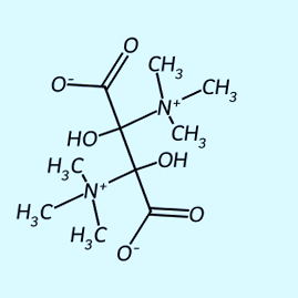 C[N+](C)(C)C(O)(C(=O)[O-])C(O)(C(=O)[O-])[N+](C)(C)C